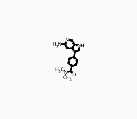 CN(C)C(=O)c1ccc(-c2c[nH]c3cnc(N)cc23)cc1